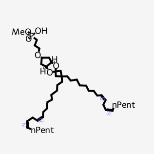 CCCCC/C=C\C/C=C\CCCCCCCCC1(CCCCCCCC/C=C\C/C=C\CCCCC)CC2(C1)O[C@H]1CC(OCCCP(=O)(O)OC)C[C@H]1O2